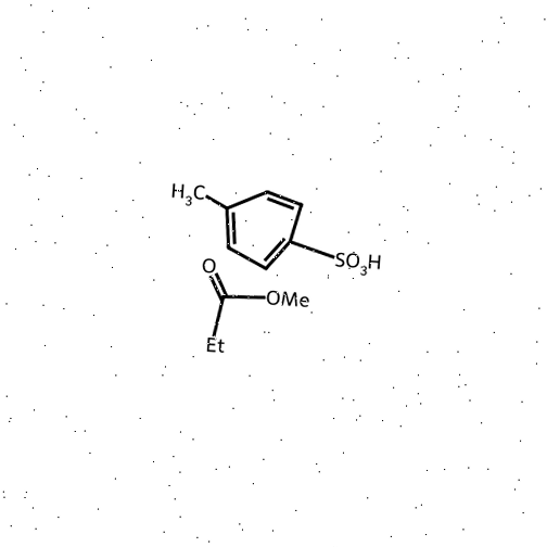 CCC(=O)OC.Cc1ccc(S(=O)(=O)O)cc1